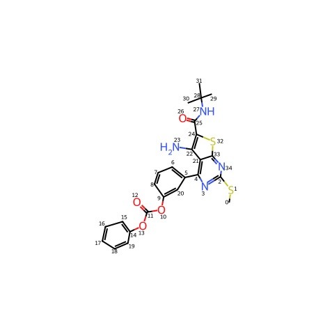 CSc1nc(-c2cccc(OC(=O)Oc3ccccc3)c2)c2c(N)c(C(=O)NC(C)(C)C)sc2n1